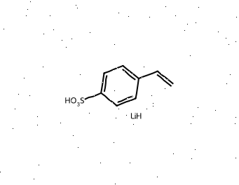 C=Cc1ccc(S(=O)(=O)O)cc1.[LiH]